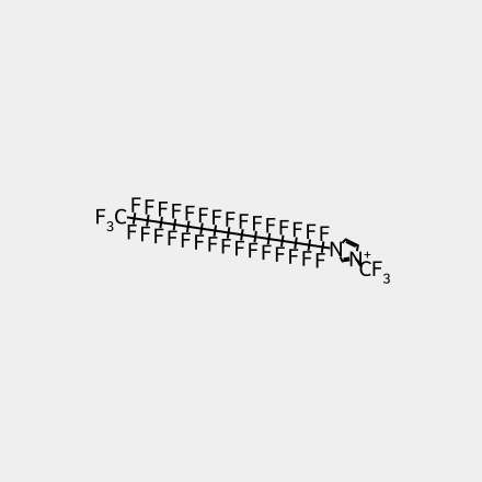 FC(F)(F)[n+]1ccn(C(F)(F)C(F)(F)C(F)(F)C(F)(F)C(F)(F)C(F)(F)C(F)(F)C(F)(F)C(F)(F)C(F)(F)C(F)(F)C(F)(F)C(F)(F)C(F)(F)C(F)(F)C(F)(F)F)c1